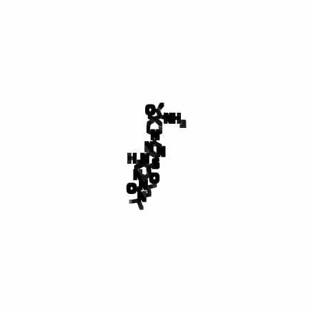 CC(C)N1CC2COc3c(Sc4ncc(N5CCC6(CC5)CO[C@@H](C)[C@H]6N)nc4N)ccnc3N2C1=O